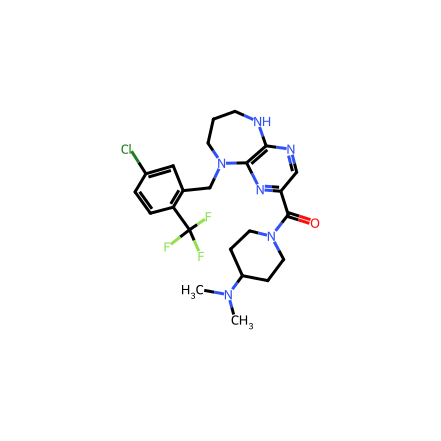 CN(C)C1CCN(C(=O)c2cnc3c(n2)N(Cc2cc(Cl)ccc2C(F)(F)F)CCCN3)CC1